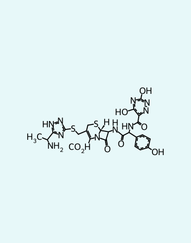 CC(N)c1nc(SCC2=C(C(=O)O)N3C(=O)C(NC(=O)C(NC(=O)c4nnc(O)nc4O)c4ccc(O)cc4)[C@H]3SC2)n[nH]1